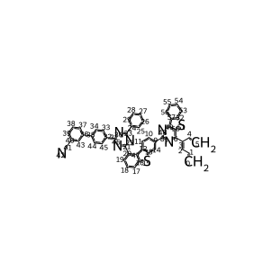 C=C/C=C(\C=C)c1nc(-c2ccc3c(c2)sc2cccc(-c4nc(-c5ccccc5)nc(-c5ccc(-c6cccc(C#N)c6)cc5)n4)c23)nc2c1sc1ccccc12